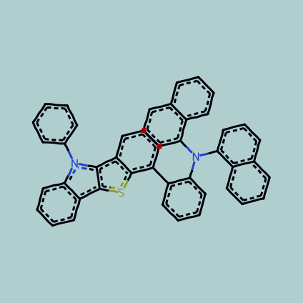 c1ccc(-n2c3ccccc3c3sc4c(-c5ccccc5N(c5cccc6ccccc56)c5cccc6ccccc56)cccc4c32)cc1